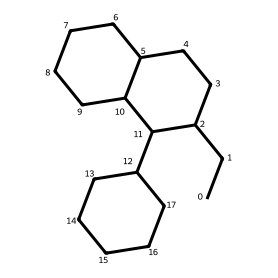 CCC1CCC2CCCCC2C1C1CCCCC1